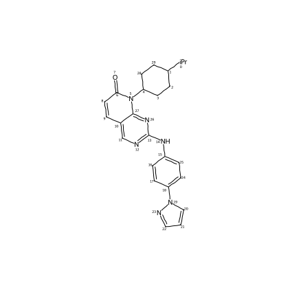 CC(C)C1CCC(n2c(=O)ccc3cnc(Nc4ccc(-n5cccn5)cc4)nc32)CC1